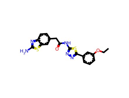 CCOc1cccc(-c2nnc(NC(=O)Cc3ccc4nc(N)sc4c3)s2)c1